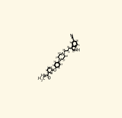 CNC(=O)c1ccnc(Oc2ccc(N3CCN(CCCc4c[nH]c5ccc(C#N)cc45)CC3)cc2)n1